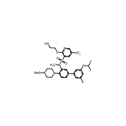 CSN1CCN(c2ccc(-c3cc(F)cc(OC(F)F)c3)cc2N(C)S(=O)(=O)c2cc(C(F)(F)F)cnc2OCCO)CC1